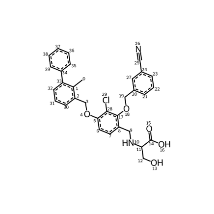 Cc1c(COc2ccc(CNC(CO)C(=O)O)c(OCc3cccc(C#N)c3)c2Cl)cccc1-c1ccccc1